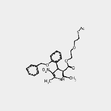 CC(=O)SCCOCCOC(=O)C1=C(C)NC(C)=C([N+](=O)[O-])C1c1ccccc1OCc1ccccc1